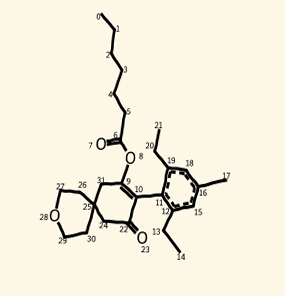 CCCCCCC(=O)OC1=C(c2c(CC)cc(C)cc2CC)C(=O)CC2(CCOCC2)C1